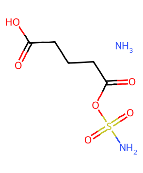 N.NS(=O)(=O)OC(=O)CCCC(=O)O